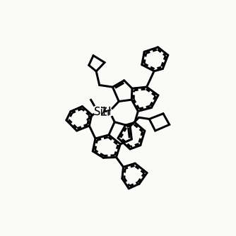 C[SiH](C)[Zr]([CH]1C(CC2CCC2)=Cc2c(-c3ccccc3)ccc(-c3ccccc3)c21)[CH]1C(CC2CCC2)=Cc2c(-c3ccccc3)ccc(-c3ccccc3)c21